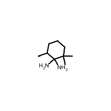 CC1CCCC(C)(C)C1(N)N